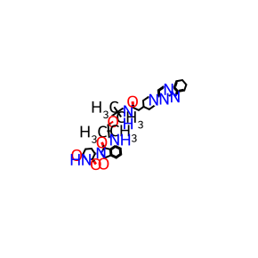 CC(C)(CNC(=O)CC1CCN(c2ccn3c4c(nc3n2)=CCCC=4)CC1)COCC(C)(C)CNc1cccc2c1C(=O)N(C1CCC(=O)NC1=O)C2=O